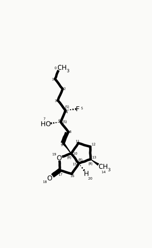 CCCC[C@H](F)[C@@H](O)C=C[C@@]12CC[C@@H](C)[C@H]1CC(=O)O2